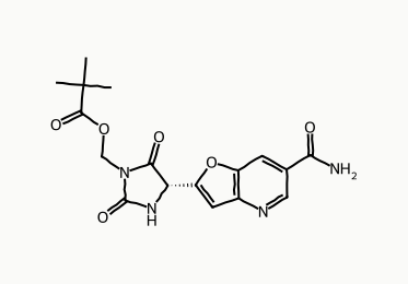 CC(C)(C)C(=O)OCN1C(=O)N[C@@H](c2cc3ncc(C(N)=O)cc3o2)C1=O